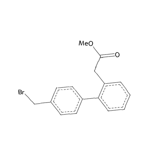 COC(=O)Cc1ccccc1-c1ccc(CBr)cc1